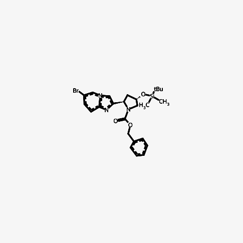 CC(C)(C)[Si](C)(C)O[C@H]1C[C@H](c2cn3cc(Br)ccc3n2)N(C(=O)OCc2ccccc2)C1